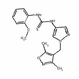 COc1ccccc1NC(=S)Nc1cnn(Cc2c(C)noc2C)c1